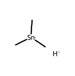 [CH3][Sn]([CH3])[CH3].[H-]